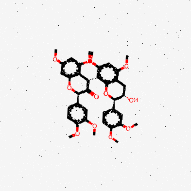 COc1cc(OC)c2c(c1)O[C@H](c1ccc(OC)c(OC)c1)C(=O)[C@H]2c1c(OC)cc(OC)c2c1O[C@H](c1ccc(OC)c(OC)c1)[C@@H](O)C2